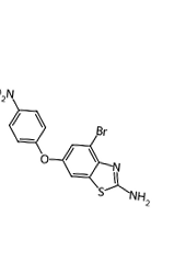 Nc1nc2c(Br)cc(Oc3ccc([N+](=O)[O-])cc3)cc2s1